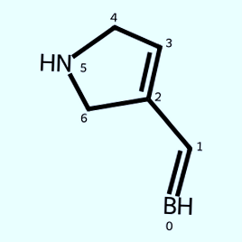 B=CC1=CCNC1